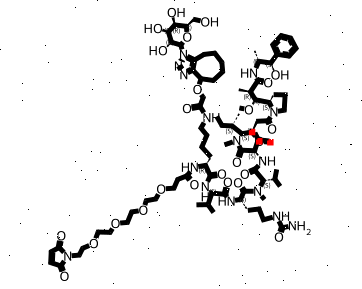 CC[C@H](C)[C@@H]([C@@H](CC(=O)N1CCC[C@H]1[C@H](OC)[C@@H](C)C(=O)N[C@H](C)[C@@H](O)c1ccccc1)OC)N(C)C(=O)[C@@H](NC(=O)[C@H](C(C)C)N(C)C(=O)[C@H](CCCNC(N)=O)NC(=O)[C@@H](NC(=O)[C@@H](CCCCNC(=O)COC1CCCCCc2c1nnn2C1O[C@H](CO)[C@H](O)[C@H](O)[C@H]1O)NC(=O)CCOCCOCCOCCOCCN1C(=O)C=CC1=O)C(C)C)C(C)C